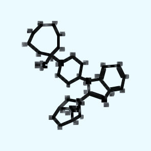 CC1(N2CCC(n3c(N4CC5CCC(C4)N5)nc4ccccc43)CC2)CCCCCCC1